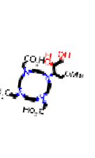 COCC(C(O)CO)N1CCN(CC(=O)O)CCN(CC(=O)O)CCN(CC(=O)O)CC1